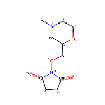 CN1CCOC(CON2C(=O)CCC2=O)C1